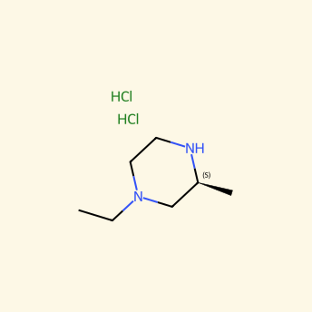 CCN1CCN[C@@H](C)C1.Cl.Cl